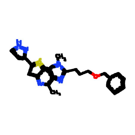 Cc1nc2cc(-c3cc[nH]n3)sc2c2c1nc(CCCOCc1ccccc1)n2C